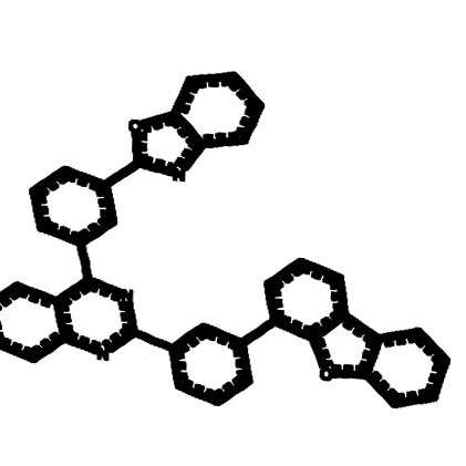 c1cc(-c2nc3ccccc3o2)cc(-c2nc(-c3cccc(-c4cccc5c4oc4ccccc45)c3)nc3ccccc23)c1